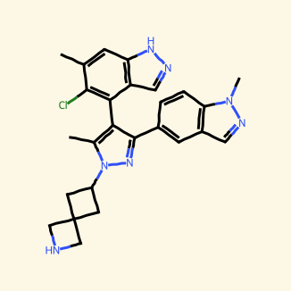 Cc1cc2[nH]ncc2c(-c2c(-c3ccc4c(cnn4C)c3)nn(C3CC4(CNC4)C3)c2C)c1Cl